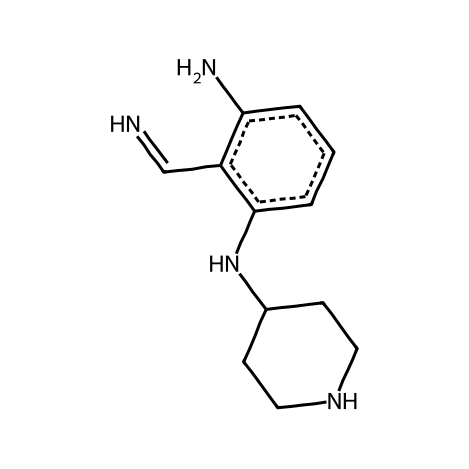 N=Cc1c(N)cccc1NC1CCNCC1